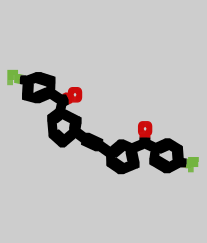 O=C(c1ccc(F)cc1)c1cccc(C#Cc2cccc(C(=O)c3ccc(F)cc3)c2)c1